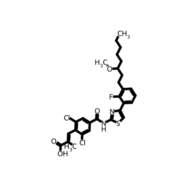 CCCCCC(CCc1cccc(-c2csc(NC(=O)c3cc(Cl)c(C=C(C)C(=O)O)c(Cl)c3)n2)c1F)OC